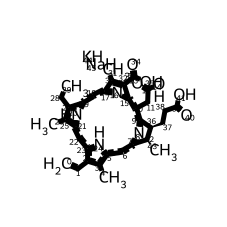 C=Cc1c(C)c2cc3nc(c(CC(=O)O)c4nc(cc5[nH]c(cc1[nH]2)c(C)c5CC)C(C)=C4C(=O)O)[C@@H](CCC(=O)O)[C@@H]3C.[KH].[NaH]